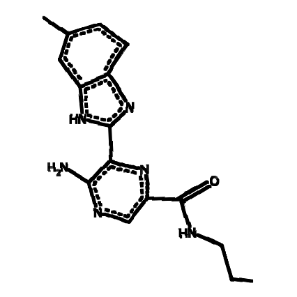 CCCNC(=O)c1cnc(N)c(-c2nc3ccc(C)cc3[nH]2)n1